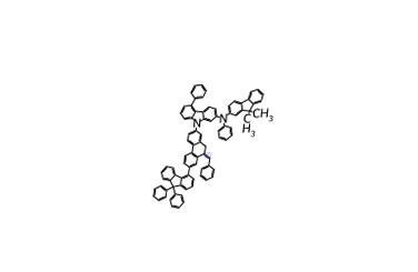 CC1(C)c2ccccc2-c2ccc(N(c3ccccc3)c3ccc4c5c(-c6ccccc6)cccc5n(-c5ccc6c(c5)C/C(=C/c5ccccc5)c5cc(-c7cccc8c7-c7ccccc7C8(c7ccccc7)c7ccccc7)ccc5-6)c4c3)cc21